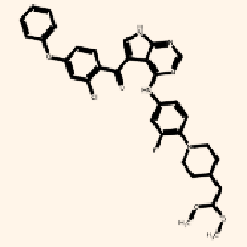 COC(CC1CCN(c2ccc(Nc3ncnc4[nH]cc(C(=O)c5ccc(Oc6ccccc6)cc5Cl)c34)cc2F)CC1)OC